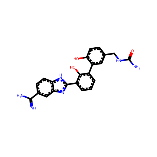 N=C(N)c1ccc2[nH]c(-c3cccc(-c4cc(CNC(N)=O)ccc4O)c3O)nc2c1